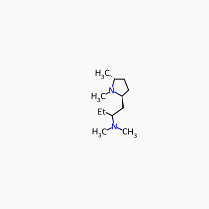 CCC(C[C@@H]1CC[C@@H](C)N1C)N(C)C